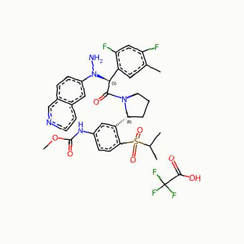 COC(=O)Nc1ccc(S(=O)(=O)C(C)C)c([C@H]2CCCN2C(=O)[C@H](c2cc(C)c(F)cc2F)N(N)c2ccc3cnccc3c2)c1.O=C(O)C(F)(F)F